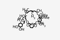 CO[C@H]1C[C@@H](C)C/C(C)=C/[C@@H](C)C(=O)C[C@H](O)[C@@H](C)[C@@H](/C(C)=C/[C@@H]2CCC(O)[C@H](O)C2)OC(=O)C2CCCCN2C(=O)C[C@]2(O)O[C@H]1[C@@H](OC)C[C@H]2C